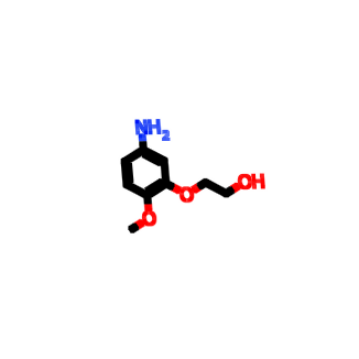 COc1ccc(N)cc1OCCO